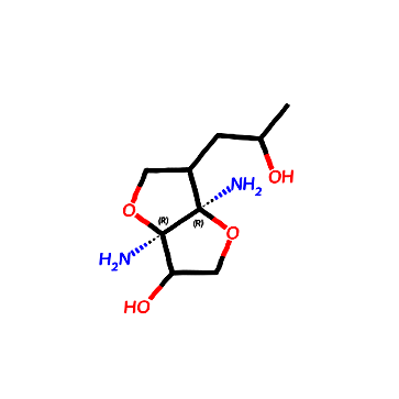 CC(O)CC1CO[C@]2(N)C(O)CO[C@]12N